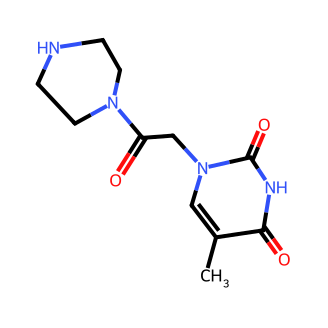 Cc1cn(CC(=O)N2CCNCC2)c(=O)[nH]c1=O